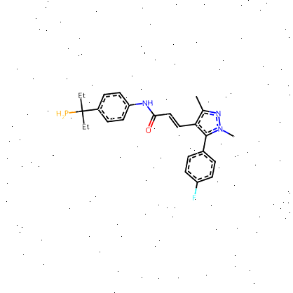 CCC(P)(CC)c1ccc(NC(=O)/C=C/c2c(C)nn(C)c2-c2ccc(F)cc2)cc1